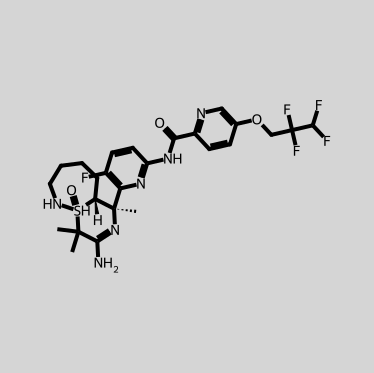 CC1(C)C(N)=N[C@](C)(c2nc(NC(=O)c3ccc(OCC(F)(F)C(F)F)cn3)ccc2F)[C@H]2CCCCN[SH]21=O